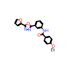 CCOc1ccc(C(=O)Nc2cccc(-c3nnc(-c4ccco4)o3)c2)cc1